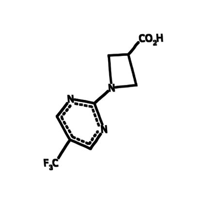 O=C(O)C1CN(c2ncc(C(F)(F)F)cn2)C1